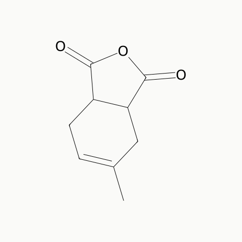 CC1=CCC2C(=O)OC(=O)C2C1